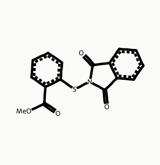 COC(=O)c1ccccc1SN1C(=O)c2ccccc2C1=O